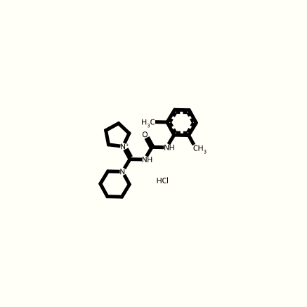 Cc1cccc(C)c1NC(=O)NC(N1CCCCC1)=[N+]1CCCC1.Cl